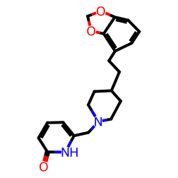 O=c1cccc(CN2CCC(CCc3cccc4c3OCO4)CC2)[nH]1